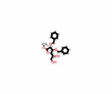 CO[C@@H]1O[C@@H]([C@@H](O)CO)[C@H](OCc2ccccc2)[C@H]1OCc1ccccc1